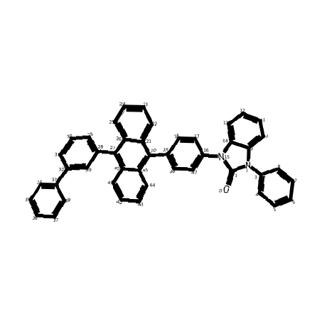 O=c1n(-c2ccccc2)c2ccccc2n1-c1ccc(-c2c3ccccc3c(-c3cccc(-c4ccccc4)c3)c3ccccc23)cc1